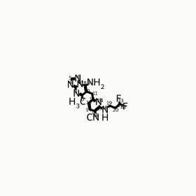 Cc1nc2ncnn2c(N)c1Cc1ccc(C#N)c(NCCC(F)F)n1